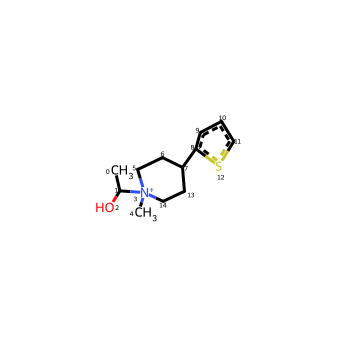 CC(O)[N+]1(C)CCC(c2cccs2)CC1